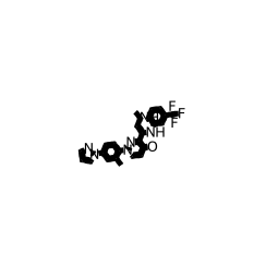 CC(=N)/C=C(\Nc1cccc(C(F)(F)F)c1)c1nn(-c2ccc(-n3cccn3)cc2C)ccc1=O